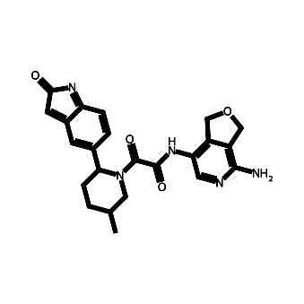 CC1CCC(c2ccc3c(c2)=CC(=O)N=3)N(C(=O)C(=O)Nc2cnc(N)c3c2COC3)C1